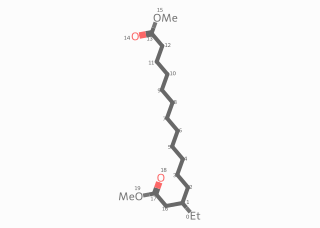 CCC(CCCCCCCCCCCC(=O)OC)CC(=O)OC